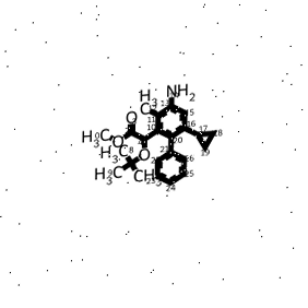 COC(=O)C(OC(C)(C)C)c1c(C)c(N)cc(C2CC2)c1-c1ccccc1